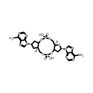 Nc1ncnc2c1ncn2[C@H]1CC2OP(=O)(O)OC[C@H]3O[C@@H](n4cnc5c(N)ncnc54)CC3OP(=O)(O)OC[C@H]2C1